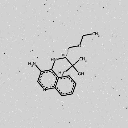 CCOC[C@@H](Nc1c(N)cnc2ccccc12)C(C)(C)O